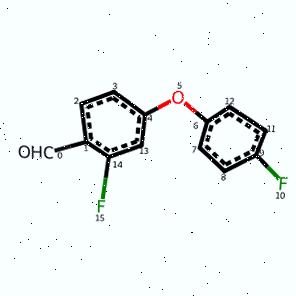 O=Cc1ccc(Oc2ccc(F)cc2)cc1F